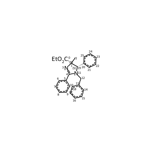 CCOC(=O)[C@@]1(C)N=C(c2ccccc2)N(Cc2ccccc2)[C@H]1c1ccccc1